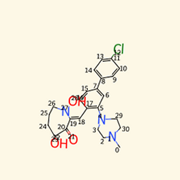 CN1CCN(c2cc(-c3ccc(Cl)cc3)ccc2C=C2C(=O)C(O)CCCN2O)CC1